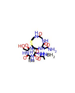 BNC(C)C(=O)NC1CC2(CS/C=C\NC(=O)CNC(=O)C(CC(N)=O)NC2=O)NC(=O)C(CO)NC(=O)C(C(C)CC)NC1=O